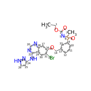 CCOC(=O)N=S(C)(=O)c1cccc(COc2cc3ncnc(Nc4cc[nH]n4)c3cc2Br)c1